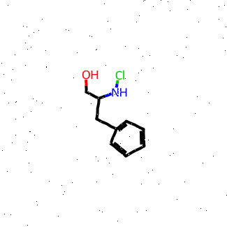 OCC(Cc1ccccc1)NCl